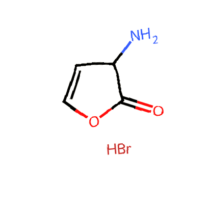 Br.NC1C=COC1=O